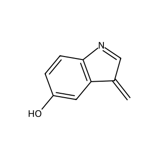 C=C1C=Nc2ccc(O)cc21